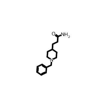 NC(=O)CCC1CCN(Cc2ccccc2)CC1